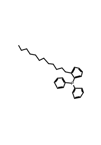 CCCCCCCCCCCCc1ccccc1P(c1ccccc1)c1ccccc1